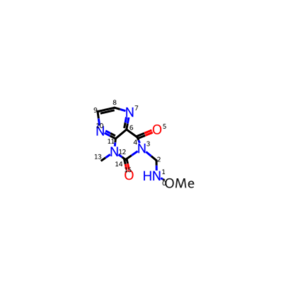 CONCn1c(=O)c2nccnc2n(C)c1=O